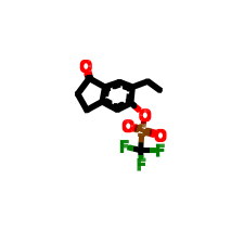 CCc1cc2c(cc1OS(=O)(=O)C(F)(F)F)CCC2=O